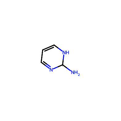 N[C]1N=CC=CN1